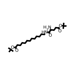 CC(C)(C)OC(=O)CCCCCCCCCCCCNC(=O)[C@@H](N)CCC(=O)OC(C)(C)C